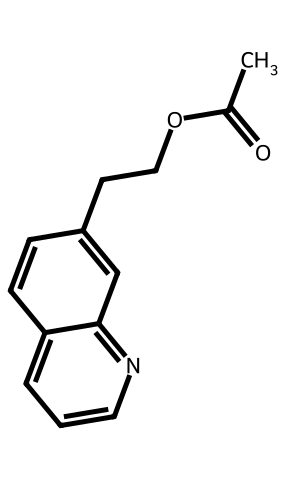 CC(=O)OCCc1ccc2cccnc2c1